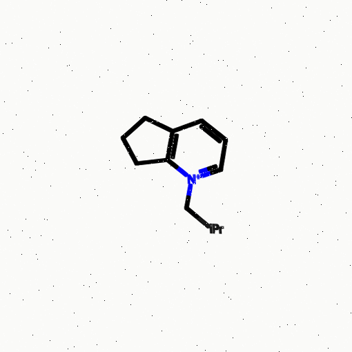 CC(C)C[n+]1cccc2c1CCC2